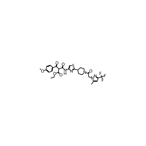 CCOC(=O)C(C(=O)Nc1csc(C2CCN(C(=O)Cn3nc(C(F)(F)F)cc3C)CC2)n1)C(=O)c1ccc(OC)cc1